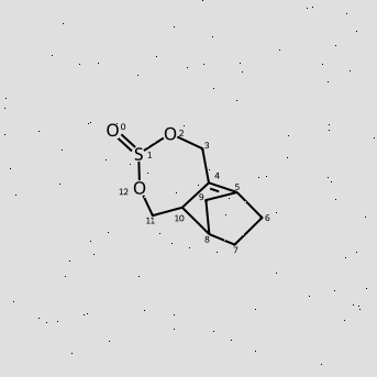 O=S1OCC2=C3CCC(C3)C2CO1